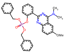 COc1ccc2nc(-c3ccccc3OP(=O)(OCc3ccccc3)OCc3ccccc3)nc(N(C)C)c2c1